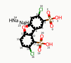 O=S(=O)(O)c1cc2c(cc1Cl)oc1ccc(Cl)c(S(=O)(=O)O)c12.[NaH].[NaH]